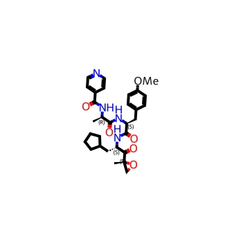 COc1ccc(C[C@H](NC(=O)[C@@H](C)NC(=O)c2ccncc2)C(=O)N[C@@H](CC2CCCC2)C(=O)[C@@]2(C)CO2)cc1